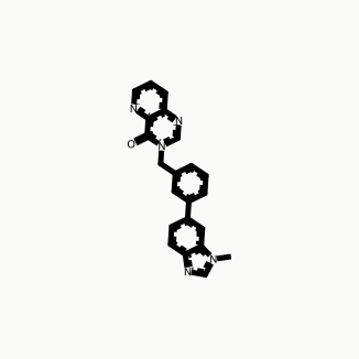 Cn1cnc2ccc(-c3cccc(Cn4cnc5cccnc5c4=O)c3)cc21